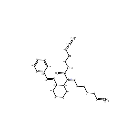 C=CCCCC/C=C(/C(=O)OCCN=[N+]=[N-])C1CCCCC1C=Cc1ccccc1